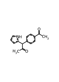 CC(=O)c1ccc(C(C(C)=O)c2ccc[nH]2)cc1